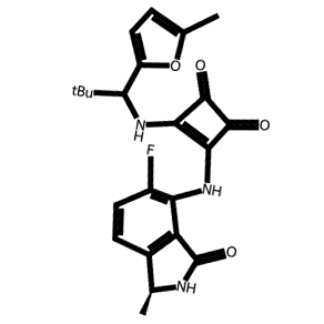 Cc1ccc(C(Nc2c(Nc3c(F)ccc4c3C(=O)N[C@H]4C)c(=O)c2=O)C(C)(C)C)o1